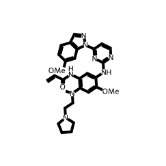 C=CC(=O)Nc1cc(Nc2nccc(-n3ncc4ccc(OC)cc43)n2)c(OC)cc1N(C)CCN1CCCC1